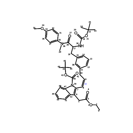 CCOC(=O)Cc1c(/C=C\Cc2cccc(CC(NC(=O)OC(C)(C)C)C(=O)N(C)c3ccc(OC)cc3)c2)n(C(=O)OC(C)(C)C)c2ccccc12